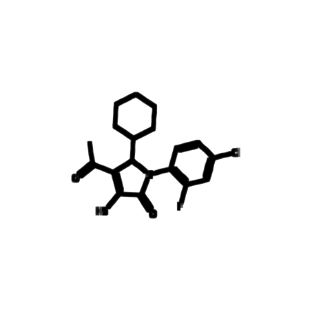 CC(=O)C1=C(S)C(=O)N(c2ccc(Cl)cc2F)C1C1CCCCC1